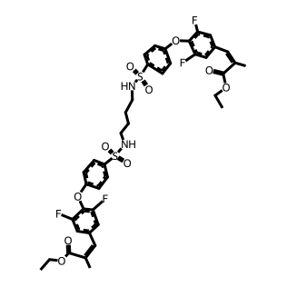 CCOC(=O)C(C)=Cc1cc(F)c(Oc2ccc(S(=O)(=O)NCCCCNS(=O)(=O)c3ccc(Oc4c(F)cc(C=C(C)C(=O)OCC)cc4F)cc3)cc2)c(F)c1